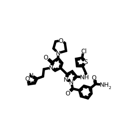 NC(=O)c1cccc(C(=O)n2nc(-c3cc(N4CCOCC4)c(=O)n(CCc4ccon4)c3)cc2NCc2ccc(Cl)s2)c1